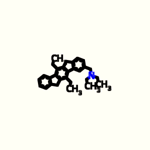 CCc1c2c(c(CC)c3c1-c1ccccc1C3)-c1cc(CN(CC)CC)ccc1C2